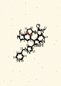 Cn1ncc2cc(-c3c(-c4cnn(Cc5ccncc5)c4)[nH]c4ncc5c(c34)n(C3CCCC3)c(=O)n5C)ccc21